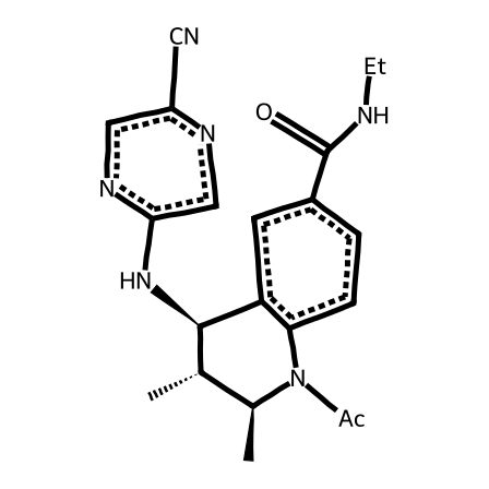 CCNC(=O)c1ccc2c(c1)[C@H](Nc1cnc(C#N)cn1)[C@@H](C)[C@H](C)N2C(C)=O